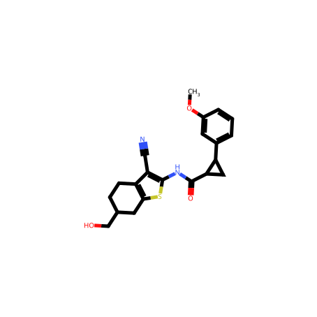 COc1cccc(C2CC2C(=O)Nc2sc3c(c2C#N)CCC(CO)C3)c1